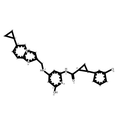 O=C(Nc1cc(NCc2cn3cc(C4CC4)ccc3n2)cc(O)n1)C1CC1c1cccc(Cl)c1